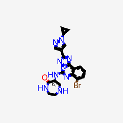 O=C1NCCNC[C@@H]1Nc1nc2c(Br)cccc2c2nc(-c3cnn(C4CC4)c3)nn12